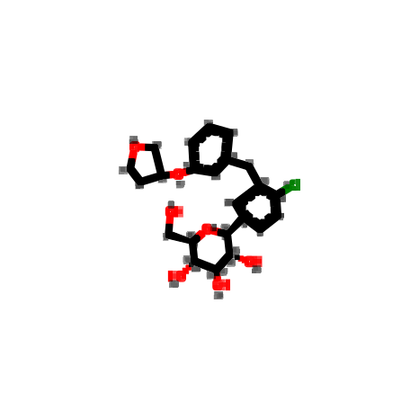 OC[C@H]1O[C@@H](c2ccc(Cl)c(Cc3cccc(OC4CCOC4)c3)c2)[C@H](O)[C@@H](O)[C@@H]1O